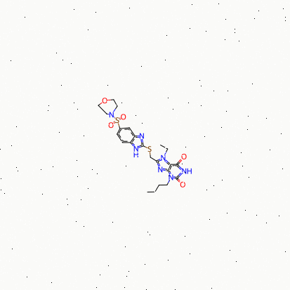 CCCCn1c(=O)[nH]c(=O)c2c1nc(CSc1nc3cc(S(=O)(=O)N4CCOCC4)ccc3[nH]1)n2CC